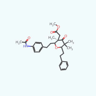 COC(=O)C[C@@]1(C)C(=O)C(C)(C)C(CCc2ccccc2)OC1CCc1ccc(NC(C)=O)cc1